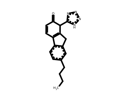 CCCCc1ccc2c(c1)CC1=C2C=CC(=O)C1c1nnn[nH]1